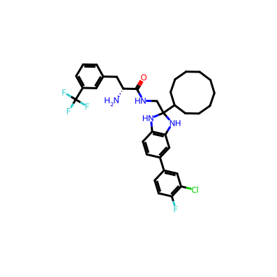 N[C@H](Cc1cccc(C(F)(F)F)c1)C(=O)NCC1(C2CCCCCCCCC2)Nc2ccc(-c3ccc(F)c(Cl)c3)cc2N1